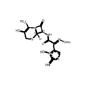 CON=C(C(=O)N[C@@H]1C(=O)N2C(C(=O)O)=C(O)CS[C@@H]12)c1csc(=N)n1O